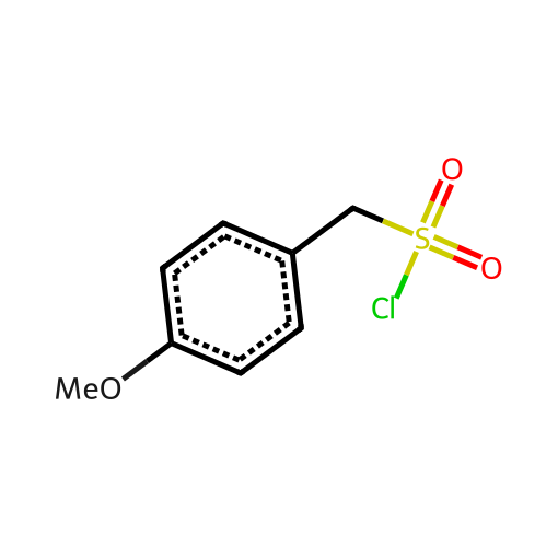 COc1ccc(CS(=O)(=O)Cl)cc1